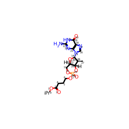 CC(C)OC(=O)CCCO[P@@]1(=O)OC[C@H]2O[C@@H](n3cnc4c(=O)[nH]c(N)nc43)[C@@H](C)[C@@H]2O1